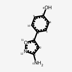 Nc1cc(-c2ccc(O)cc2)on1